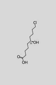 O=C(O)CCCC[C@H](O)CCCCCl